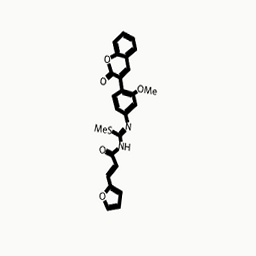 COc1cc(/N=C(/NC(=O)/C=C/c2ccco2)SC)ccc1-c1cc2ccccc2oc1=O